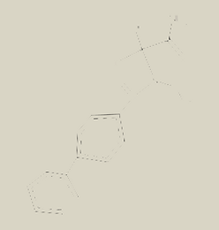 CCC(O)(C(N)=O)N(OC(C)C)S(=O)(=O)c1ccc(-c2ccccc2)cc1